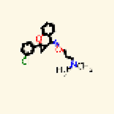 CN(C)CCCON=C1c2ccccc2OC2(c3cccc(Cl)c3)CC12